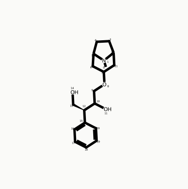 CN1C2CCC1CC(OCC(O)[C@H](CO)c1ccccc1)C2